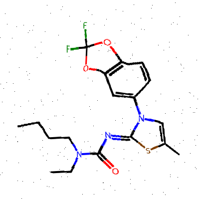 CCCCN(CC)C(=O)/N=c1\sc(C)cn1-c1ccc2c(c1)OC(F)(F)O2